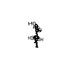 COc1cc(/C=C/c2cc(O)c(C/C=C(\C)CCC=C(C)C)c(O)c2)cc2c1O[C@]1(C)CC[C@@H](O)C[C@H]1C2